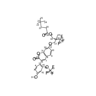 COc1ccc(-c2cc3ccc(OCC(C)(COC(=O)CCC(C)(C)C)C(F)(F)F)cc3oc2=O)c(OC(F)(F)F)c1